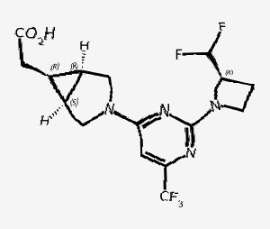 O=C(O)C[C@H]1[C@H]2CN(c3cc(C(F)(F)F)nc(N4CC[C@@H]4C(F)F)n3)C[C@@H]12